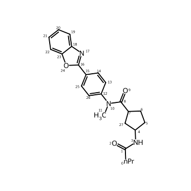 CCCC(=O)NC1CCC(C(=O)N(C)c2ccc(-c3nc4ccccc4o3)cc2)C1